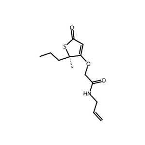 C=CCNC(=O)COC1=CC(=O)S[C@]1(C)CCC